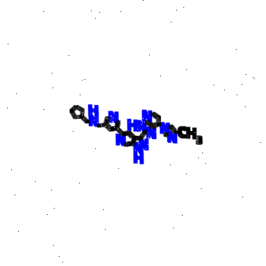 Cc1cn(-c2ccnc3[nH]c(-c4n[nH]c5cnc(-c6cncc(CNCC7CCCC7)c6)cc45)nc23)cn1